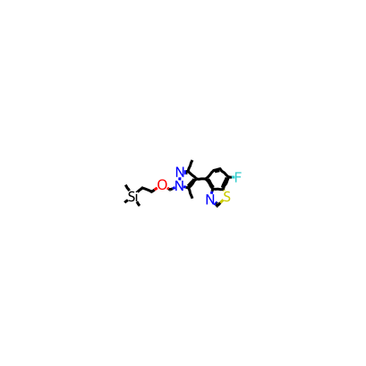 Cc1nn(COCC[Si](C)(C)C)c(C)c1-c1ccc(F)c2scnc12